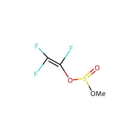 COS(=O)OC(F)=C(F)F